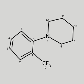 FC(F)(F)c1ccccc1N1C[CH]CCC1